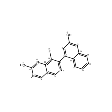 Oc1cc(-c2ncc3cnc(O)nc3c2F)c2ccccc2c1